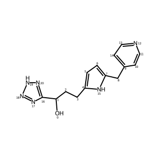 OC(CCc1ccc(Cc2ccncc2)[nH]1)c1nn[nH]n1